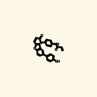 C=CC(=O)Nc1ccc(-n2c(=O)ccc3oc4ccc(-c5ccc(O)cc5)cc4c32)cc1